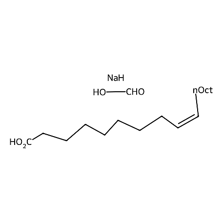 CCCCCCCC/C=C\CCCCCCCC(=O)O.O=CO.[NaH]